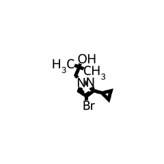 CC(C)(O)Cn1cc(Br)c(C2CC2)n1